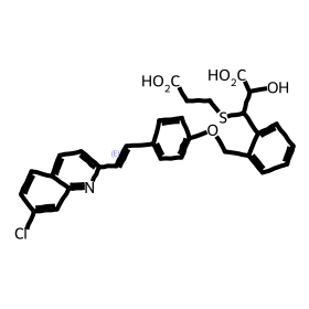 O=C(O)CCSC(c1ccccc1COc1ccc(/C=C/c2ccc3ccc(Cl)cc3n2)cc1)C(O)C(=O)O